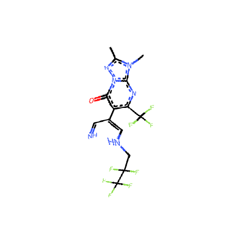 Cc1nn2c(=O)c(/C(C=N)=C/NCC(F)(F)C(F)(F)F)c(C(F)(F)F)nc2n1C